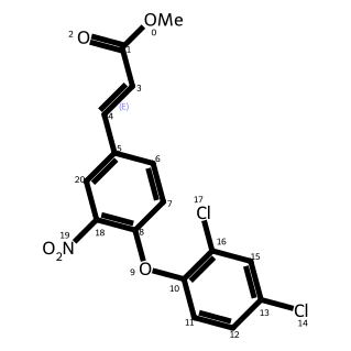 COC(=O)/C=C/c1ccc(Oc2ccc(Cl)cc2Cl)c([N+](=O)[O-])c1